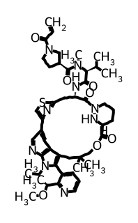 C=CC(=O)N1CC[C@H](C(=O)N(C)[C@H](C(=O)N[C@H]2Cc3nc(cs3)-c3cnc4c(c3)c(c(-c3cccnc3[C@H](C)OC)n4CC)CC(C)(C)COC(=O)[C@@H]3CCCN(N3)C2=O)C(C)C)C1